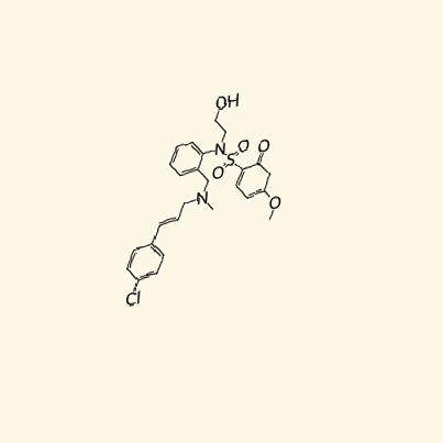 COC1=CC=C(S(=O)(=O)N(CCO)c2ccccc2CN(C)CC=Cc2ccc(Cl)cc2)C(=O)C1